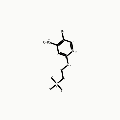 CS(C)(C)CCOc1cc(C=O)c(Br)cn1